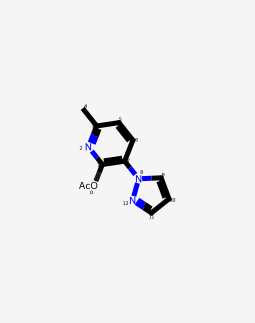 CC(=O)Oc1nc(C)ccc1-n1cccn1